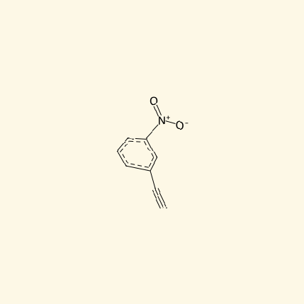 [C]#Cc1cccc([N+](=O)[O-])c1